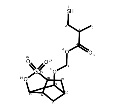 CC(CS)C(=O)OCOC1C2CC3C1OS(=O)(=O)C3C2